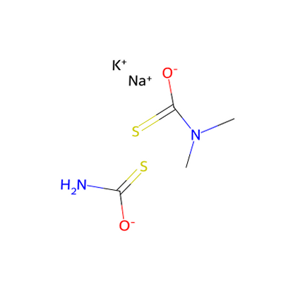 CN(C)C([O-])=S.NC([O-])=S.[K+].[Na+]